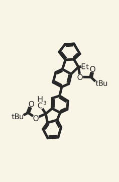 CCC1(OC(=O)C(C)(C)C)c2ccccc2-c2ccc(-c3ccc4c(c3)C(C)(OC(=O)C(C)(C)C)c3ccccc3-4)cc21